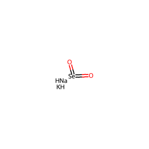 O=[Se]=O.[KH].[NaH]